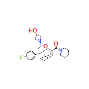 O=C(C[C@]1(c2ccc(F)cc2)C2CC3CC1C[C@@](C(=O)N1CCCCC1)(C3)C2)N1CC(O)C1